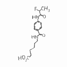 CC(F)C(=O)Nc1ccc(C(=O)NCCCCCC(=O)O)cc1